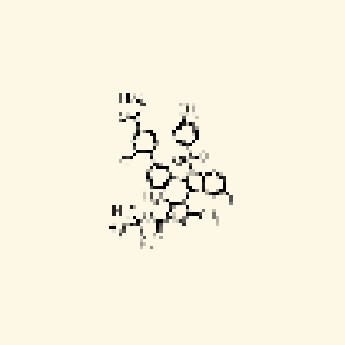 COC(=O)c1ccc(-c2cccc(-c3c(-c4c(C)nn(C(=O)OC(C)(C)C)c4C)c4cc(F)ccc4n3S(=O)(=O)c3ccc(C)cc3)c2)c(Cl)c1